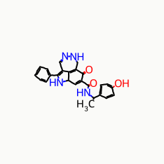 CC(NC(=O)C1=CC2NC(c3ccccc3)=C3C=NNCC(=C32)C1=O)c1ccc(O)cc1